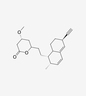 C#C[C@H]1C=C2C=C[C@H](C)[C@H](CCC3C[C@@H](OC)CC(=O)O3)C2CC1